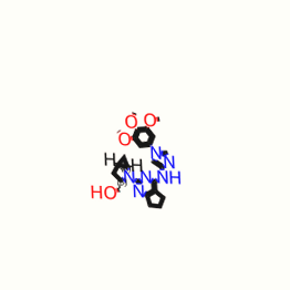 COc1cc(-n2cnc(Nc3nc(N4[C@H](CO)C[C@H]5C[C@H]54)nc4c3CCC4)c2)cc(OC)c1OC